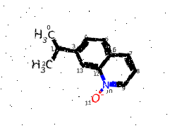 CC(C)c1ccc2ccc[n+]([O-])c2c1